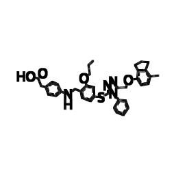 CCCOc1cc(Sc2nnc(COc3ccc(C)c4c3CCC4)n2-c2ccccc2)ccc1CNc1ccc(CC(=O)O)cc1